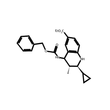 CCOC(=O)c1ccc2c(c1)C(NC(=O)OCc1ccccc1)[C@@H](C)[C@H](C1CC1)N2